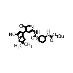 CC1(C)Cc2c(-c3cc(NC(=O)[C@H]4CCCC(NC(=O)OC(C)(C)C)C4)ncc3Cl)cc(C#N)n2C1